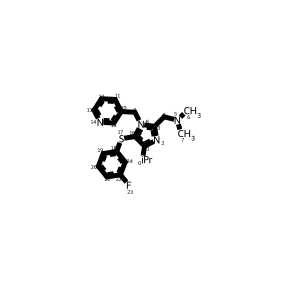 CC(C)c1nc(CN(C)C)n(Cc2cccnc2)c1Sc1cccc(F)c1